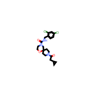 O=C(CC1CC1)N1CCC2(CC1)CN(C(=O)NCc1ccc(Cl)cc1Cl)CCO2